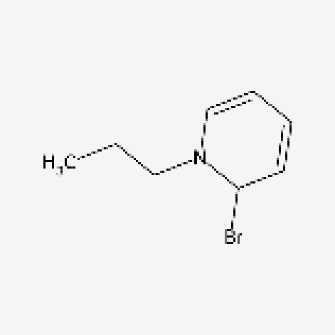 CCCN1C=CC=CC1Br